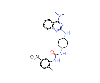 Cc1ccc([N+](=O)[O-])cc1NC(=O)N[C@H]1CC[C@@H](Nc2nc(N(C)C)c3ccccc3n2)CC1